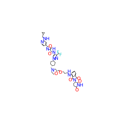 O=C1CCC(N2C(=O)c3cccc(NCCCOC[C@@H]4CN(C[C@H]5CC[C@H](n6cc(NC(=O)c7coc(-c8ccnc(NCC9CC9)c8)n7)c(C(F)F)n6)CC5)CCO4)c3C2=O)C(=O)N1